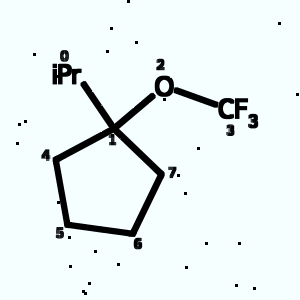 CC(C)C1(OC(F)(F)F)CCCC1